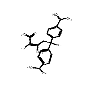 CC(CC(C)(c1ccc(C(C)O)cc1)c1ccc(C(C)O)cc1)=C(C)C(=O)O